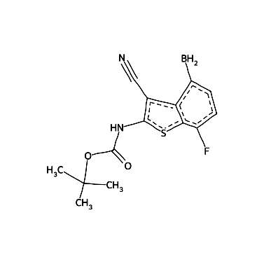 Bc1ccc(F)c2sc(NC(=O)OC(C)(C)C)c(C#N)c12